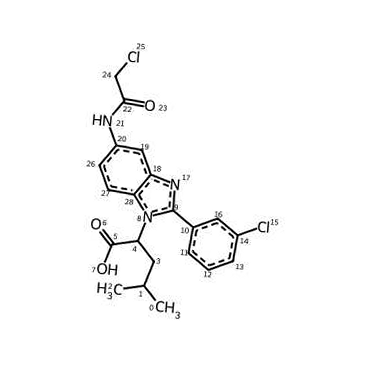 CC(C)CC(C(=O)O)n1c(-c2cccc(Cl)c2)nc2cc(NC(=O)CCl)ccc21